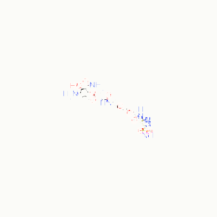 NC(=O)c1c(OC(=O)CCC(=O)NCCOCCOCC(=O)Nc2nnc(S(N)(=O)=O)s2)ccc(N)c1O